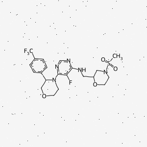 CS(=O)(=O)N1CCOC(CNc2ncnc(N3CCOCC3c3ccc(C(F)(F)F)cc3)c2F)C1